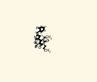 CCCn1c(=O)c([N+](=O)[O-])c(-c2cnn(Cc3ccccc3F)c2)n(CC)c1=O